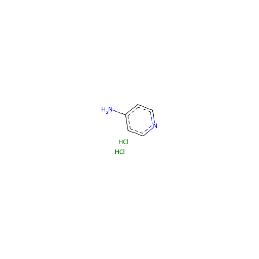 Cl.Cl.Nc1ccncc1